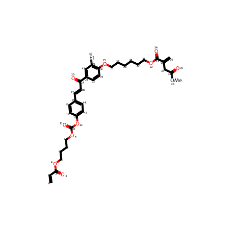 C=CC(=O)OCCCCOC(=O)Oc1ccc(/C=C/C(=O)c2ccc(OCCCCCCOC(=O)C(=C)CC(=O)OC)c(CC)c2)cc1